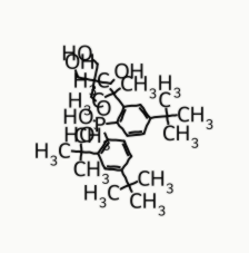 CC(C)(C)c1ccc(P(O)(O)(OCC(CO)(CO)CO)c2ccc(C(C)(C)C)cc2C(C)(C)C)c(C(C)(C)C)c1